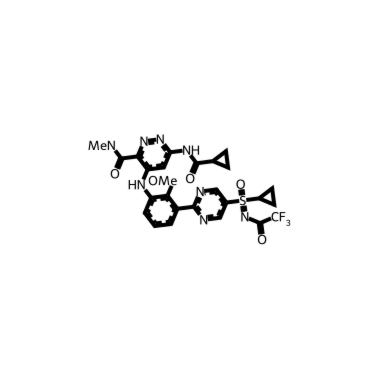 CNC(=O)c1nnc(NC(=O)C2CC2)cc1Nc1cccc(-c2ncc(S(=O)(=NC(=O)C(F)(F)F)C3CC3)cn2)c1OC